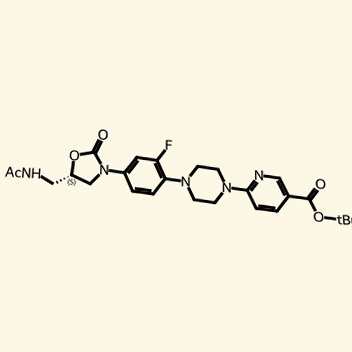 CC(=O)NC[C@H]1CN(c2ccc(N3CCN(c4ccc(C(=O)OC(C)(C)C)cn4)CC3)c(F)c2)C(=O)O1